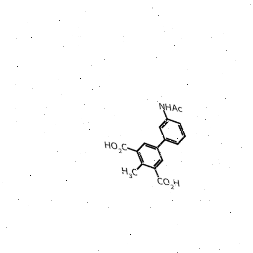 CC(=O)Nc1cccc(-c2cc(C(=O)O)c(C)c(C(=O)O)c2)c1